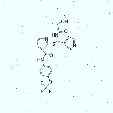 O=C(CO)NC(Sc1ncccc1C(=O)Nc1ccc(OC(F)(F)F)cc1)c1ccncc1